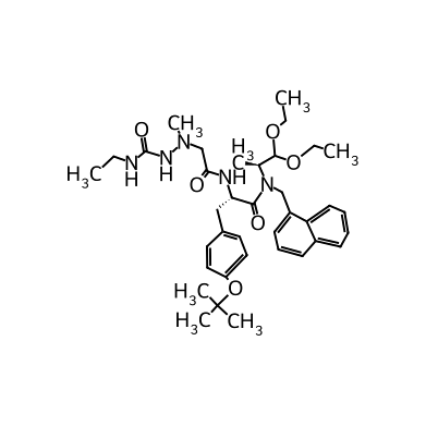 CCNC(=O)NN(C)CC(=O)N[C@@H](Cc1ccc(OC(C)(C)C)cc1)C(=O)N(Cc1cccc2ccccc12)[C@@H](C)C(OCC)OCC